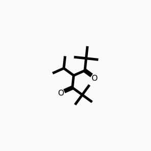 CC(C)C(C(=O)C(C)(C)C)C(=O)C(C)(C)C